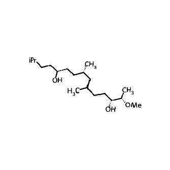 CO[C@@H](C)[C@H](O)CCC(C)C[C@@H](C)CCC(O)CCC(C)C